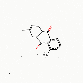 CC1=CCC2C(=O)c3cccc([N+](=O)[O-])c3C(=O)C2C1